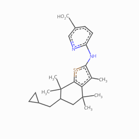 Cc1c(Nc2ccc(C(=O)O)cn2)sc2c1C(C)(C)CC(CC1CC1)C2(C)C